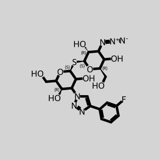 [N-]=[N+]=NC1C(O)[C@@H](CO)O[C@@H](S[C@@H]2OC(CO)[C@H](O)C(n3cc(-c4cccc(F)c4)nn3)C2O)[C@@H]1O